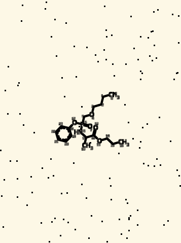 CCCCOCP(=O)(NC(C)C(=O)OCCC)Oc1ccccc1